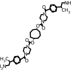 CC(CN)c1ccc(C(=O)N2CCN(C(=O)O[C@H]3CCC[C@@H](OC(=O)N4CCN(C(=O)c5ccc(C(C)CN)cc5)CC4)CCC3)CC2)cc1